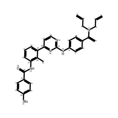 C=CCN(CC=C)C(=C)c1ccc(Nc2nccc(-c3cccc(NC(=O)c4ccc(C(C)(C)C)cc4)c3C)n2)cc1